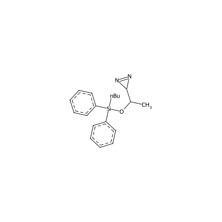 CCCC[Si](OC(C)C1N=N1)(c1ccccc1)c1ccccc1